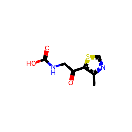 Cc1ncsc1C(=O)CNC(=O)O